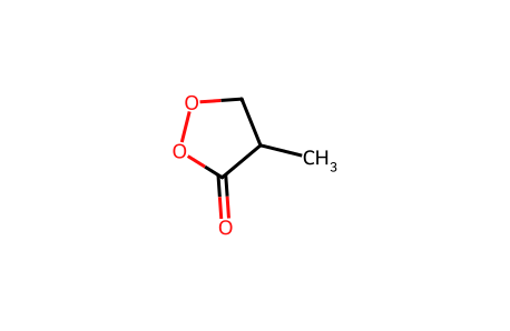 CC1COOC1=O